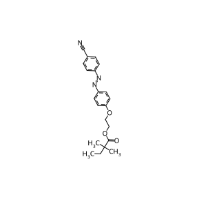 CCC(C)(C)C(=O)OCCOc1ccc(/N=N/c2ccc(C#N)cc2)cc1